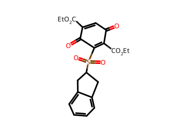 CCOC(=O)C1=CC(=O)C(C(=O)OCC)=C(S(=O)(=O)C2Cc3ccccc3C2)C1=O